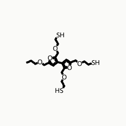 CCCOCc1cc(-c2cc(COCCS)oc2COCCS)c(COCCS)o1